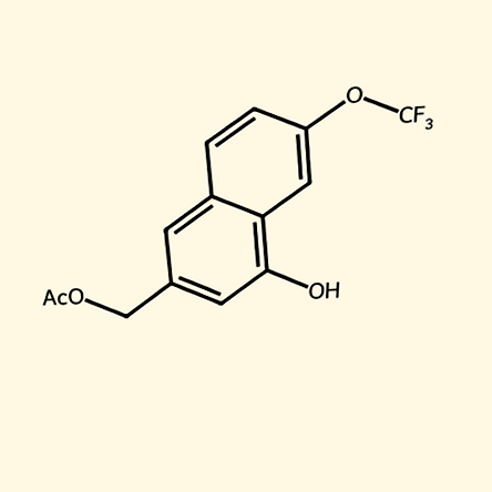 CC(=O)OCc1cc(O)c2cc(OC(F)(F)F)ccc2c1